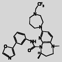 C[C@@H]1CCN(C)c2ccc(N3CCCN(CC(F)(F)F)CC3)nc2N1C(=O)Nc1cccc(-c2cnco2)c1